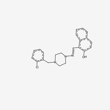 Oc1ccc2ccccc2c1C=NN1CCN(Cc2ccccc2Cl)CC1